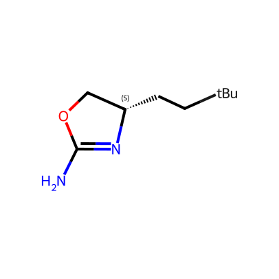 CC(C)(C)CC[C@H]1COC(N)=N1